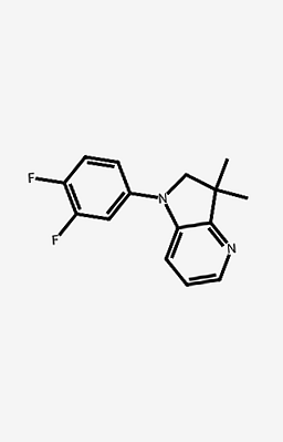 CC1(C)CN(c2ccc(F)c(F)c2)c2cccnc21